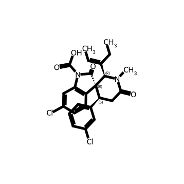 CC=C(CC)[C@H]1N(C)C(=O)C[C@@H](c2cccc(Cl)c2)[C@]12C(=O)N(C(=O)O)c1cc(Cl)ccc12